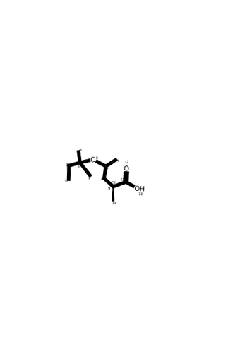 CCC(C)(C)OC(C)C[C@H](C)C(=O)O